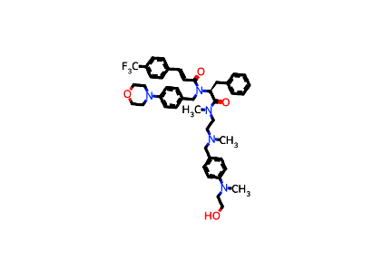 CN(CCN(C)C(=O)[C@H](Cc1ccccc1)N(Cc1ccc(N2CCOCC2)cc1)C(=O)C=Cc1ccc(C(F)(F)F)cc1)Cc1ccc(N(C)CCO)cc1